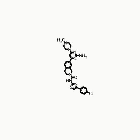 CN1CCN(c2cc(-c3ccc4c(c3)CN(C(=O)Nc3nc(-c5ccc(Cl)cc5)cs3)CC4)nc(N)n2)CC1